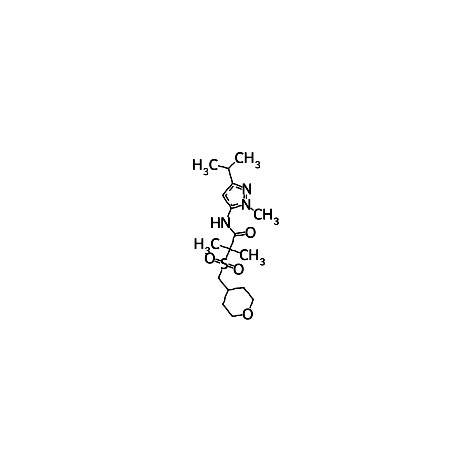 CC(C)c1cc(NC(=O)C(C)(C)S(=O)(=O)CC2CCOCC2)n(C)n1